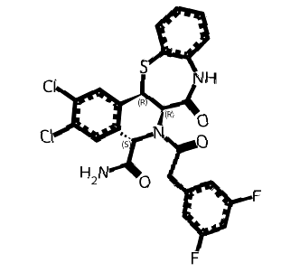 C[C@@H](C(N)=O)N(C(=O)Cc1cc(F)cc(F)c1)[C@@H]1C(=O)Nc2ccccc2S[C@@H]1c1ccc(Cl)c(Cl)c1